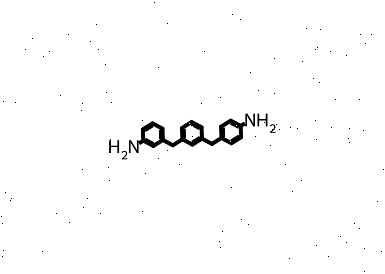 Nc1ccc(Cc2cccc(Cc3cccc(N)c3)c2)cc1